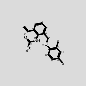 C=Cc1cccc(COc2ccc(C)cc2C)c1NC(=O)CC